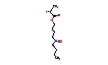 CCCCN(O)CCCCOC(=O)C(C)I